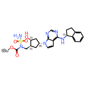 CC(C)(C)OC(=O)N(C[C@@H]1C[C@@H](n2ccc3c(N[C@H]4CCc5ccccc54)ncnc32)C[C@@H]1O)S(N)(=O)=O